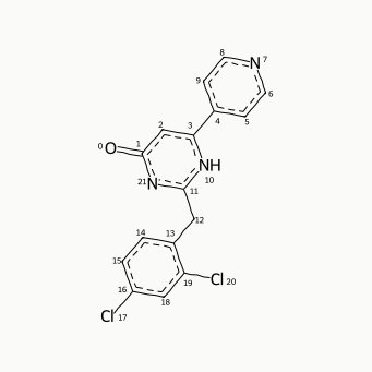 O=c1cc(-c2ccncc2)[nH]c(Cc2ccc(Cl)cc2Cl)n1